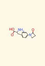 N[C@@H](Cc1ccc(N2CCC2=O)cc1)C(=O)O